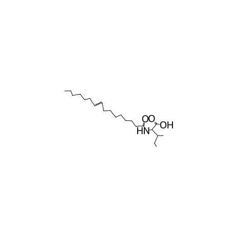 CCCCCCC=CCCCCCCCC(=O)NC(C(=O)O)C(C)CC